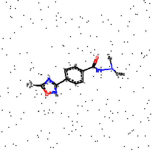 CON(NC(=O)c1ccc(-c2noc(C(F)(F)F)n2)cc1)C(C)=O